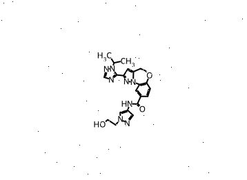 CC(C)n1ncnc1-c1cc2n(n1)-c1cc(C(=O)Nc3cnn(CCO)c3)ccc1OCC2